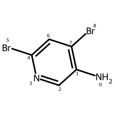 Nc1cnc(Br)cc1Br